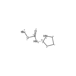 CC(C)(C)OC(=O)N[C@H]1CCCN1